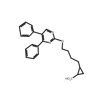 O=C(O)C1CC1CCCCOc1ncc(-c2ccccc2)c(-c2ccccc2)n1